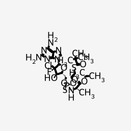 CC(C)OC(=O)[C@H](C)N[P@](=S)(OCCSC(=O)C(C)(C)C)OC[C@H]1O[C@@H](n2cnc3c(N)nc(N)nc32)[C@@](F)(Cl)[C@@H]1O